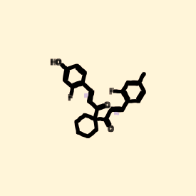 Cc1ccc(/C=C/C(=O)C2(C(=O)/C=C/c3ccc(O)cc3F)CCCCC2)c(F)c1